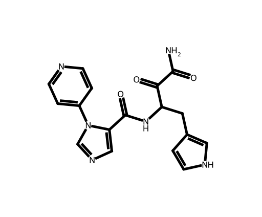 NC(=O)C(=O)C(Cc1cc[nH]c1)NC(=O)c1cncn1-c1ccncc1